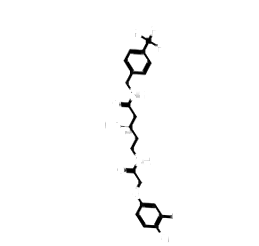 O=C(COc1ccc(Cl)c(F)c1)NCC[C@@H](O)CC(=O)NCc1ccc(C(F)(F)F)cc1